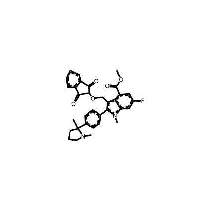 COC(=O)c1cc(F)cc2c1c(COC1C(=O)c3ccccc3C1=O)c(-c1ccc(C3(C)CCCN3C)cc1)n2C